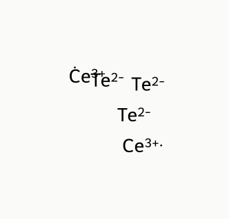 [Ce+3].[Ce+3].[Te-2].[Te-2].[Te-2]